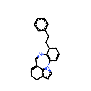 C1=CC2=C(N=CC3=CCCc4ccn2c43)C(CCc2ccccc2)C1